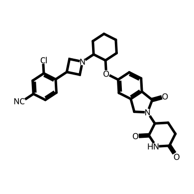 N#Cc1ccc(C2CN(C3CCCCC3Oc3ccc4c(c3)CN(C3CCC(=O)NC3=O)C4=O)C2)c(Cl)c1